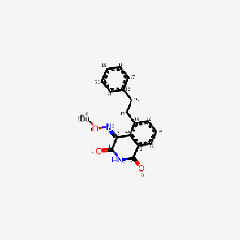 CC(C)(C)ON=C1C(=O)NC(=O)c2cccc(CCc3ccccc3)c21